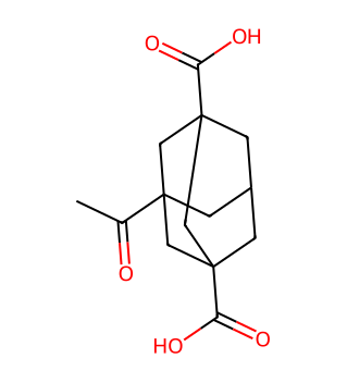 CC(=O)C12CC3CC(C(=O)O)(C1)CC(C(=O)O)(C3)C2